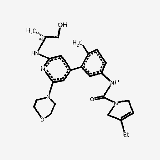 CCC1=CCN(C(=O)Nc2ccc(C)c(-c3cc(N[C@H](C)CO)nc(N4CCOCC4)c3)c2)C1